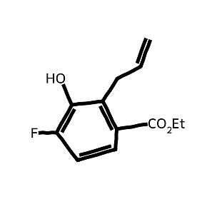 C=CCc1c(C(=O)OCC)ccc(F)c1O